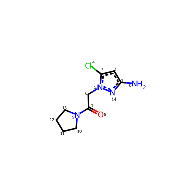 Nc1cc(Cl)n(CC(=O)N2CCCC2)n1